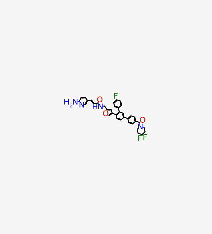 Nc1ccc(/C=C/C(=O)NCc2cc(-c3ccc(-c4ccc(C(=O)N5CCC(F)(F)CC5)cc4)cc3-c3ccc(F)cc3)co2)cn1